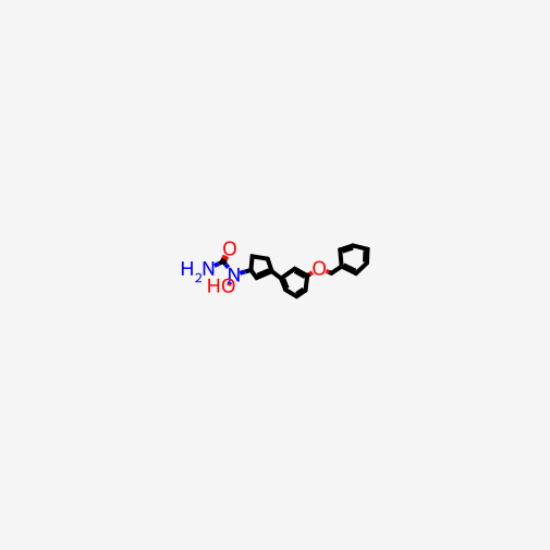 NC(=O)N(O)C1C=C(c2cccc(OCc3ccccc3)c2)CC1